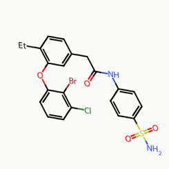 CCc1ccc(CC(=O)Nc2ccc(S(N)(=O)=O)cc2)cc1Oc1cccc(Cl)c1Br